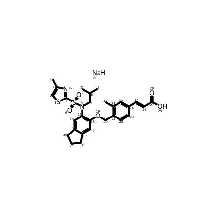 Cc1csc(S(=O)(=O)N(CC(C)C)c2cc3c(cc2OCc2ccc(C=CC(=O)O)cc2C)CCC3)n1.[NaH]